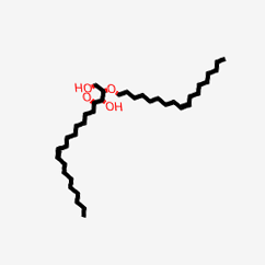 CCCCCCCC/C=C\CCCCCCCCOC(CO)C(O)C(=O)CCCCCCC/C=C\CCCCCCCC